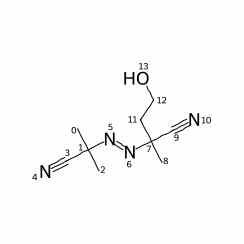 CC(C)(C#N)N=NC(C)(C#N)CCO